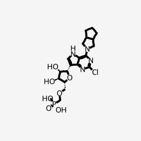 O=P(O)(O)COC[C@H]1O[C@@H](c2c[nH]c3c(N4CC5CCCC5C4)nc(Cl)nc23)[C@H](O)[C@@H]1O